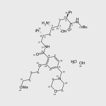 CCCCNC(=O)[C@@H](C[C@H](O)[C@@H](N)C[C@H](CNC(=O)c1ccc(CN2CCOCC2)cc1OCCCCOC)C(C)C)C(C)C.Cl.Cl